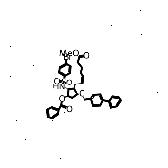 COC(=O)CCC/C=C\C[C@@H]1[C@@H](NS(=O)(=O)c2ccc(Br)cc2)[C@H](OC(=O)c2ccccc2)C[C@H]1OCc1ccc(-c2ccccc2)cc1